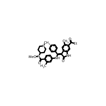 CCC(=O)c1cc2c(cc1C)/C(=C(/Nc1ccc(C(=O)N(OC)C3CCN(C)CC3)c(C)c1)c1ccccc1)C(=O)N2